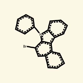 Brc1cc2ccccc2c2c3ccccc3n(-c3ccccc3)c12